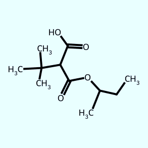 CCC(C)OC(=O)C(C(=O)O)C(C)(C)C